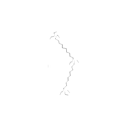 CC[N+](CC)(CC)CCCCCCCCCC[N+](CC)(CC)CCCCCCCCCC[N+](CC)(CC)CC.[I-].[I-].[I-]